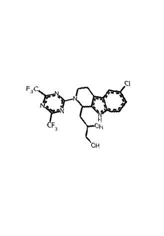 OCC(O)CC1c2[nH]c3ccc(Cl)cc3c2CCN1c1nc(C(F)(F)F)nc(C(F)(F)F)n1